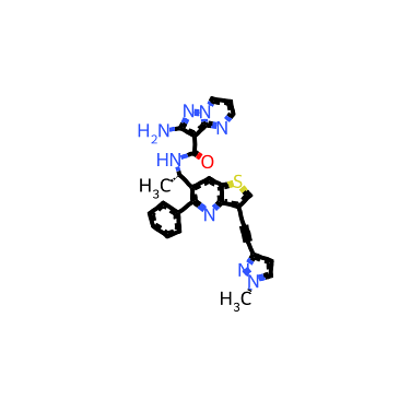 C[C@H](NC(=O)c1c(N)nn2cccnc12)c1cc2scc(C#Cc3ccn(C)n3)c2nc1-c1ccccc1